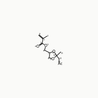 C=C(C)C(=O)OCC1COC(C)(CC(C)=O)O1